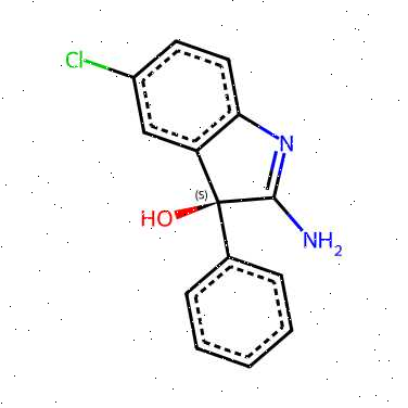 NC1=Nc2ccc(Cl)cc2[C@@]1(O)c1ccccc1